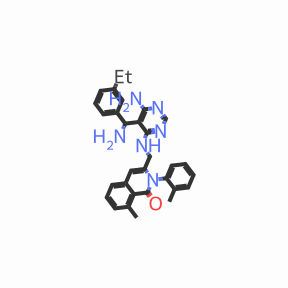 CCc1cccc(C(N)c2c(N)ncnc2NCc2cc3cccc(C)c3c(=O)n2-c2ccccc2C)c1